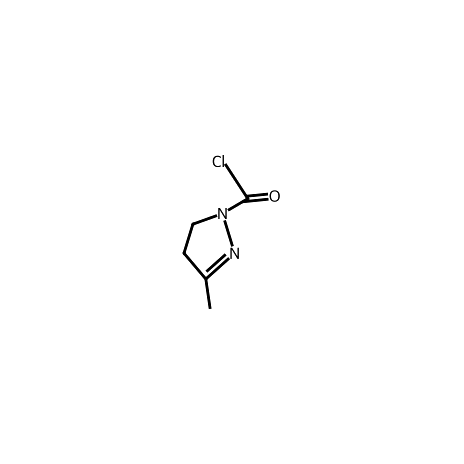 CC1=NN(C(=O)Cl)CC1